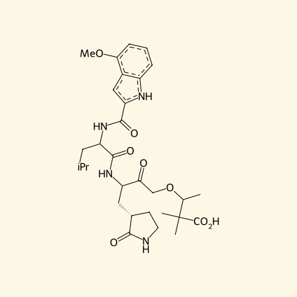 COc1cccc2[nH]c(C(=O)NC(CC(C)C)C(=O)NC(C[C@@H]3CCNC3=O)C(=O)COC(C)C(C)(C)C(=O)O)cc12